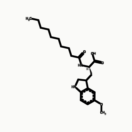 CCCCCCCCCC(=O)N[C@@H](CC1CNc2ccc(OC)cc21)C(=O)O